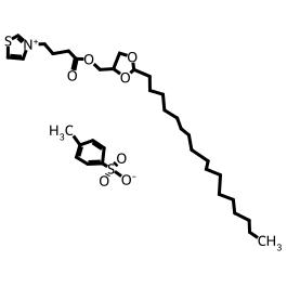 CCCCCCCCCCCCCCCCCC1OCC(COC(=O)CCC[n+]2ccsc2)O1.Cc1ccc(S(=O)(=O)[O-])cc1